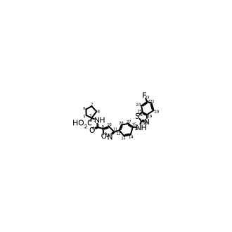 O=C(NC1(C(=O)O)CCCC1)c1cc(-c2ccc(Nc3nc4ccc(F)cc4s3)cc2)no1